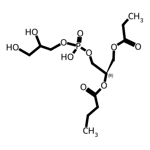 CCCC(=O)O[C@H](COC(=O)CC)COP(=O)(O)OCC(O)CO